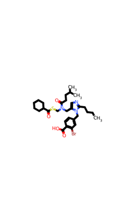 CCCCc1ncc(CN(CSC(=O)C2CCCCC2)C(=O)CCC(C)C)n1Cc1ccc(C(=O)O)c(Br)c1